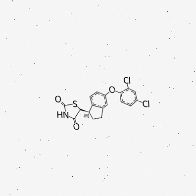 O=C1NC(=O)C([C@@H]2CCc3cc(Oc4ccc(Cl)cc4Cl)ccc32)S1